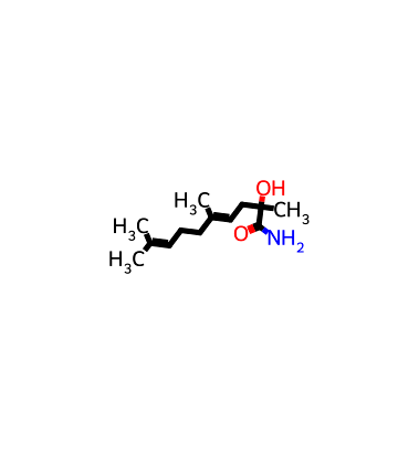 CC(C)=CCC/C(C)=C/CC(C)(O)C(N)=O